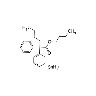 CCCCOC(=O)C(CCCC)(c1ccccc1)c1ccccc1.[SnH2]